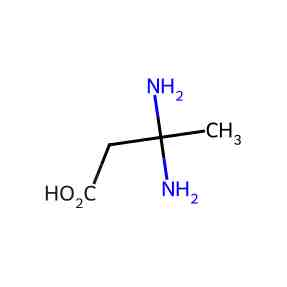 CC(N)(N)CC(=O)O